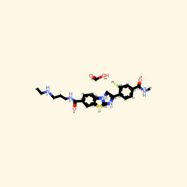 CCNCCCNC(=O)c1ccc2c(c1)sc1nc(-c3ccc(C(=O)NC)cc3F)cn12.O=CO